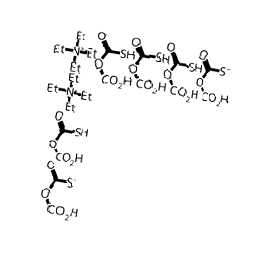 CC[N+](CC)(CC)CC.CC[N+](CC)(CC)CC.O=C(O)OC(=O)S.O=C(O)OC(=O)S.O=C(O)OC(=O)S.O=C(O)OC(=O)S.O=C(O)OC(=O)[S-].O=C(O)OC(=O)[S-]